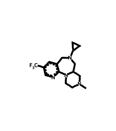 CN1CCN2c3ncc(C(F)(F)F)cc3CN(C3CC3)CC2C1